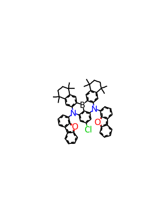 CC1(C)CCC(C)(C)c2cc3c(cc21)B1c2cc4c(cc2N(c2cccc5c2oc2ccccc25)c2cc(Cl)cc(c21)N3c1cccc2c1oc1ccccc12)C(C)(C)CCC4(C)C